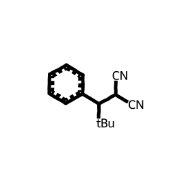 CC(C)(C)C(c1ccccc1)C(C#N)C#N